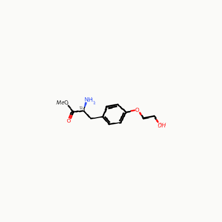 COC(=O)[C@@H](N)Cc1ccc(OCCO)cc1